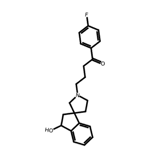 O=C(CCCN1CCC2(CC(O)c3ccccc32)C1)c1ccc(F)cc1